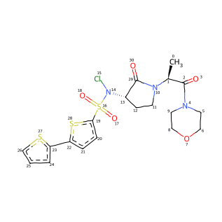 C[C@@H](C(=O)N1CCOCC1)N1CC[C@H](N(Cl)S(=O)(=O)c2ccc(-c3cccs3)s2)C1=O